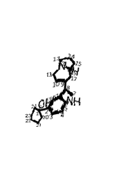 OC1(c2ccc3[nH]cc(C4=CCN5CCC[C@@H]5C4)c3c2)CCCCC1